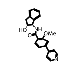 COc1cc(-c2ccncc2)ccc1C(=O)N[C@@H]1c2ccccc2C[C@H]1O